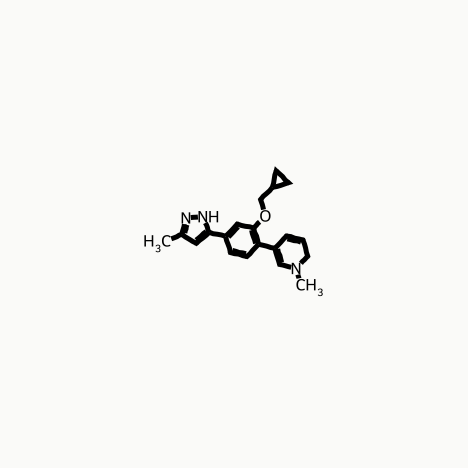 Cc1cc(-c2ccc(C3=CN(C)CC=C3)c(OCC3CC3)c2)[nH]n1